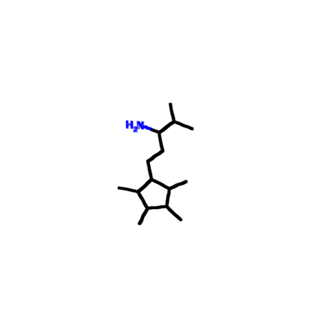 CC(C)C(N)CCC1C(C)C(C)C(C)C1C